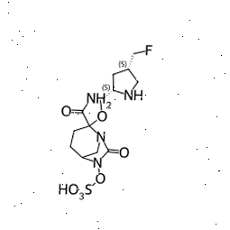 NC(=O)C1(OC[C@@H]2C[C@H](CF)CN2)CCC2CN1C(=O)N2OS(=O)(=O)O